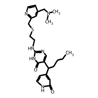 CCCCC(c1cc[nH]c(=O)c1)c1cnc(NCCSCc2cc(CN(C)C)ccn2)[nH]c1=O